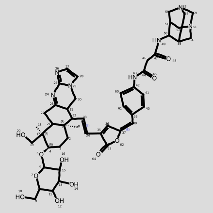 C[C@]12CC[C@@H](OC3OC(CO)C(O)C(O)C3O)[C@@](C)(CO)C1CC1=Nc3nccn3CC1C2/C=C/C1=CC(=C\c2ccc(NC(=O)CC(=O)NC3C4CN5CC3CN(C4)C5)cc2)/OC1=O